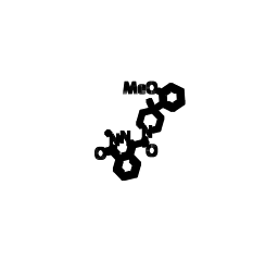 COc1ccccc1C1(C)CCN(C(=O)c2nn(C)c(=O)c3ccccc23)CC1